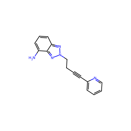 Nc1cccc2nn(CCC#Cc3ccccn3)nc12